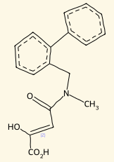 CN(Cc1ccccc1-c1ccccc1)C(=O)/C=C(\O)C(=O)O